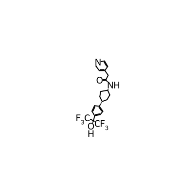 O=C(Cc1ccncc1)N[C@H]1CC[C@H](c2ccc(C(O)(C(F)(F)F)C(F)(F)F)cc2)CC1